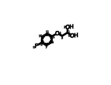 OC(O)COc1ccc(F)cc1